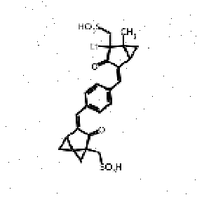 CCC1(CS(=O)(=O)O)C(=O)/C(=C\c2ccc(/C=C3\C(=O)C4(CS(=O)(=O)O)CC45CC35)cc2)C2CC21C